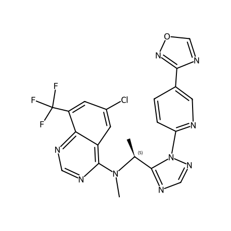 C[C@@H](c1ncnn1-c1ccc(-c2ncon2)cn1)N(C)c1ncnc2c(C(F)(F)F)cc(Cl)cc12